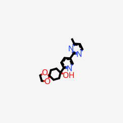 Cc1ccnc(-c2ccc(C3(O)CCC4(CC3)OCCO4)nc2)n1